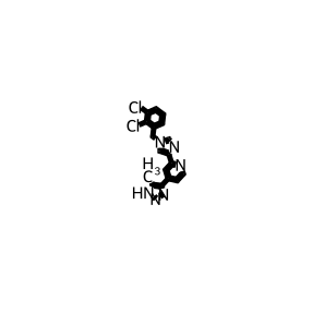 Cc1[nH]nnc1-c1ccnc(-c2cn(Cc3cccc(Cl)c3Cl)cn2)c1